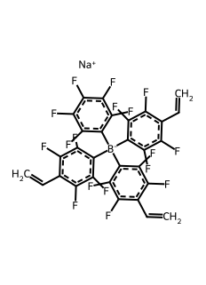 C=Cc1c(F)c(F)c([B-](c2c(F)c(F)c(F)c(F)c2F)(c2c(F)c(F)c(C=C)c(F)c2F)c2c(F)c(F)c(C=C)c(F)c2F)c(F)c1F.[Na+]